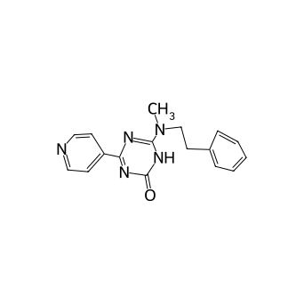 CN(CCc1ccccc1)c1nc(-c2ccncc2)nc(=O)[nH]1